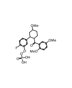 COc1ccc(OC)c(C(=O)C2CCC(OC)CC2c2ccc(F)c(OOP(=O)(O)O)c2)c1